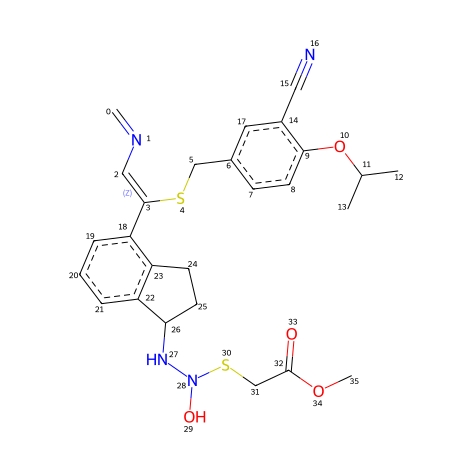 C=N/C=C(\SCc1ccc(OC(C)C)c(C#N)c1)c1cccc2c1CCC2NN(O)SCC(=O)OC